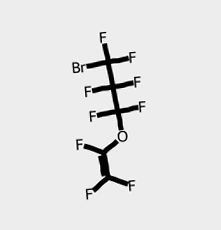 FC(F)=C(F)OC(F)(F)C(F)(F)C(F)(F)Br